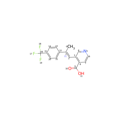 C/C(=C\c1cnccc1C(=O)O)c1ccc(C(F)(F)F)cc1